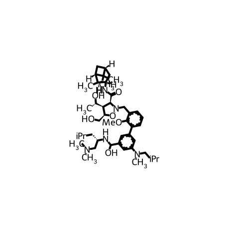 COc1c(CN2O[C@@H](CO)[C@@H]([C@H](C)O)[C@H]2C(=O)N[C@H]2C[C@H]3C[C@@H]([C@@H]2C)C3(C)C)cccc1-c1cc(C(O)N[C@@H](CC(C)C)CN(C)C)cc(N(C)CC(C)C)c1